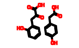 O=C(O)C(=O)Cc1ccccc1O.O=C(O)Cc1ccc(O)cc1